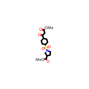 COC(=O)CC(=O)C1CCC(S(=O)(=O)N2CCC(C(=O)OC)C2)CC1